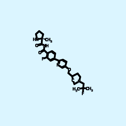 CC(C)(F)CN1CCC(COc2ccc(-c3ccc(C(=O)NC(=O)[C@]4(C)CCCN4)c(F)c3)nc2)CC1